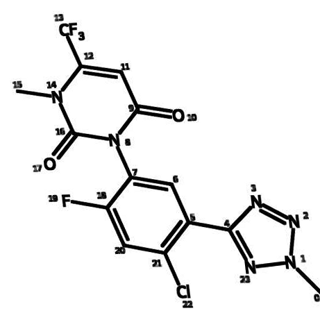 Cn1nnc(-c2cc(-n3c(=O)cc(C(F)(F)F)n(C)c3=O)c(F)cc2Cl)n1